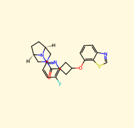 O=C(C1CC(Oc2cccc3ncsc23)C1)N1C[C@H]2CC[C@@H](C1)N2c1ccc(F)cn1